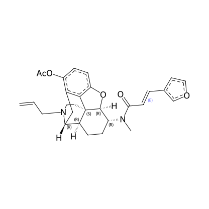 C=CCN1CC[C@@]23c4c5ccc(OC(C)=O)c4C[C@@H]1[C@@H]2CC[C@@H](N(C)C(=O)/C=C/c1ccoc1)[C@@H]3O5